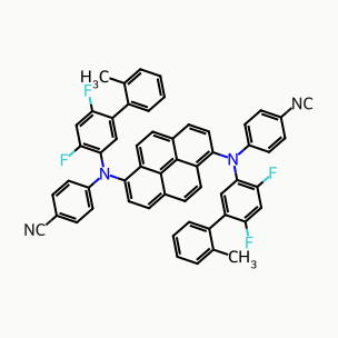 [C-]#[N+]c1ccc(N(c2cc(-c3ccccc3C)c(F)cc2F)c2ccc3ccc4c(N(c5ccc(C#N)cc5)c5cc(-c6ccccc6C)c(F)cc5F)ccc5ccc2c3c54)cc1